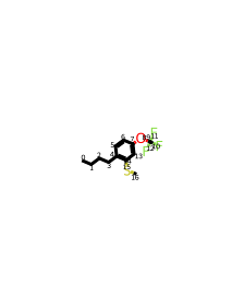 CCCCc1ccc(OC(F)(F)F)cc1SC